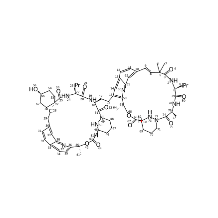 CC(C)[C@@H]1NC(=O)C(C)(C)/C=C/c2ccc3cc(CC[C@@H]4NC(=O)[C@H](C(C)C)NC(=O)[C@]5(CCc6ccc7ccc(nc7c6)[C@@H](C)OC(=O)[C@@H]6CCCN(N6)C4=O)CC[C@H](O)CC5)c(nc3c2)[C@@H](C)OC(=O)[C@@H]2CCCN(N2)C(=O)[C@H](C)NC1=O